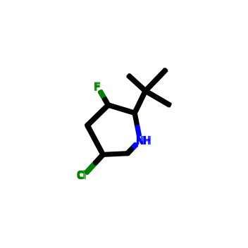 CC(C)(C)C1NCC(Cl)CC1F